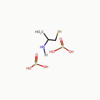 CCNC(CS)C(=O)O.O=S(O)O.O=S(O)O